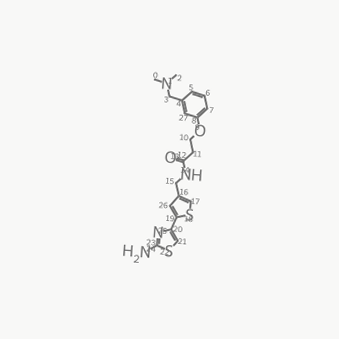 CN(C)Cc1cccc(OCCC(=O)NCc2csc(-c3csc(N)n3)c2)c1